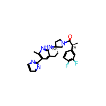 Cc1nc2c(cc1-c1ncccn1)CC[C@@]1(CCN(C(=O)[C@@H](C)c3ccc(F)c(F)c3)C1)N2